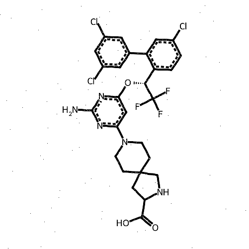 Nc1nc(O[C@H](c2ccc(Cl)cc2-c2cc(Cl)cc(Cl)c2)C(F)(F)F)cc(N2CCC3(CC2)CNC(C(=O)O)C3)n1